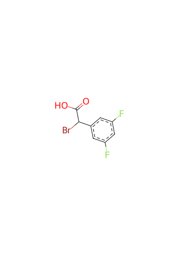 O=C(O)C(Br)c1cc(F)cc(F)c1